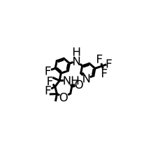 CC1(C)OCC(=O)NC(C)(c2cc(Nc3cncc(C(F)(F)F)c3)ccc2F)C1(F)F